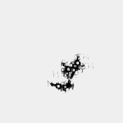 COc1cc(OC)c2c(=O)c(OCCCCSc3nnc(OS(=O)(=O)c4ccc(C#N)cc4)o3)c(-c3cc(OC)c(OC)c(OC)c3)oc2c1